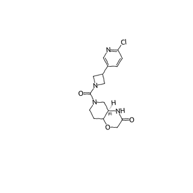 O=C1COC2CCN(C(=O)N3CC(c4ccc(Cl)nc4)C3)C[C@H]2N1